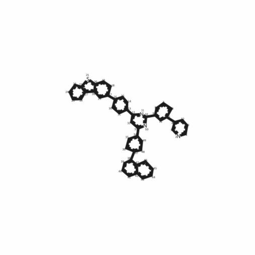 c1cncc(-c2cccc(-c3nc(-c4ccc(-c5ccc6sc7ccccc7c6c5)cc4)cc(-c4ccc(-c5cccc6ccccc56)cc4)n3)c2)c1